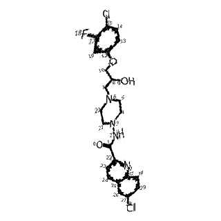 O=C(NN1CCN(CC(O)COc2ccc(Cl)c(F)c2)CC1)c1ccc2cc(Cl)ccc2n1